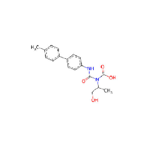 Cc1ccc(-c2ccc(NC(=O)N(C(=O)O)C(C)CO)cc2)cc1